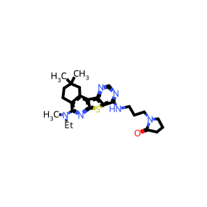 CCN(C)c1nc2sc3c(NCCCN4CCCC4=O)ncnc3c2c2c1CCC(C)(C)C2